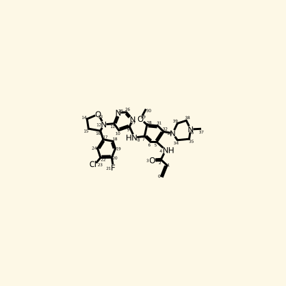 C=CC(=O)Nc1cc(Nc2cc(N3OCCC3c3ccc(F)c(Cl)c3)ncn2)c(OC)cc1N1CCN(C)CC1